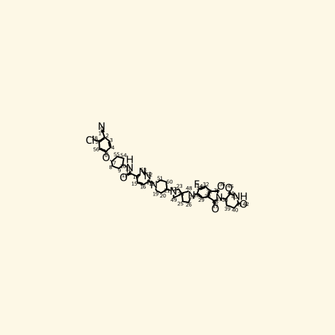 N#Cc1ccc(O[C@H]2CC[C@H](NC(=O)c3ccc(N4CCC(N5CC6(CCN(c7cc8c(cc7F)C(=O)N(C7CCC(=O)NC7=O)C8=O)C6)C5)CC4)nn3)CC2)cc1Cl